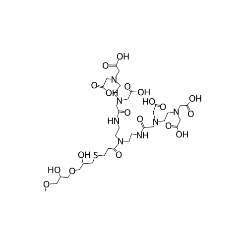 COCC(O)COCC(O)CSCCC(=O)N(CCNC(=O)CN(CCN(CC(=O)O)CC(=O)O)CC(=O)O)CCNC(=O)CN(CCN(CC(=O)O)CC(=O)O)CC(=O)O